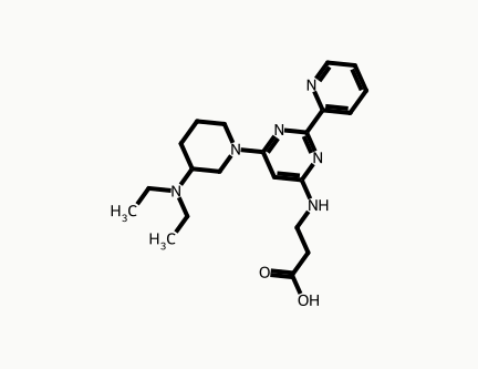 CCN(CC)C1CCCN(c2cc(NCCC(=O)O)nc(-c3ccccn3)n2)C1